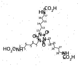 O=C(O)NCCCCCCn1c(=O)n(CCCCCCNC(=O)O)c(=O)n(CCCCCCNC(=O)O)c1=O